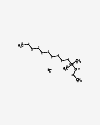 CCCCCCCCCC[N+](C)(C)OCC.[Br-]